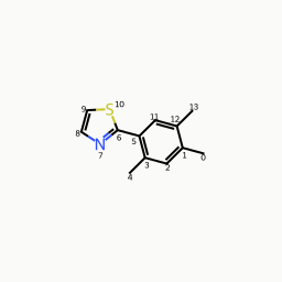 Cc1cc(C)c(-c2nccs2)cc1C